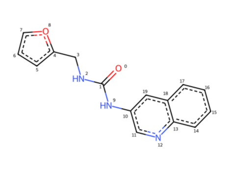 O=C(NCc1ccco1)Nc1cnc2ccccc2c1